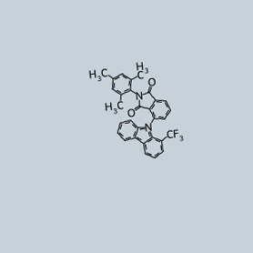 Cc1cc(C)c(N2C(=O)c3cccc(-n4c5ccccc5c5cccc(C(F)(F)F)c54)c3C2=O)c(C)c1